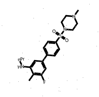 CCCNc1cc(-c2ccc(S(=O)(=O)N3CCN(C)CC3)cc2)cc(F)c1C